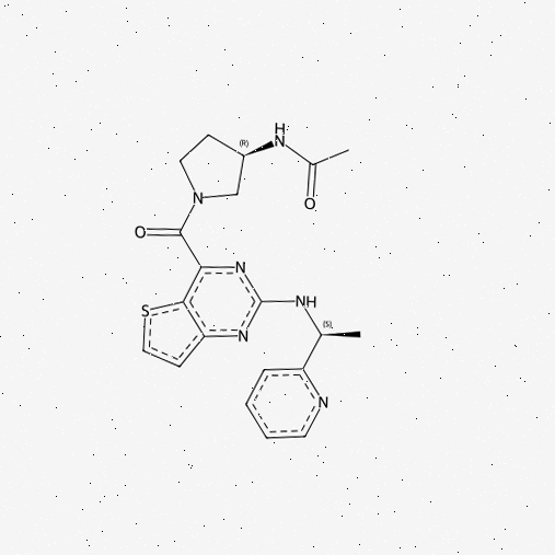 CC(=O)N[C@@H]1CCN(C(=O)c2nc(N[C@@H](C)c3ccccn3)nc3ccsc23)C1